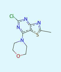 Cc1nc2nc(Cl)nc(N3CCOCC3)c2s1